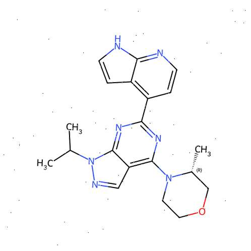 CC(C)n1ncc2c(N3CCOC[C@H]3C)nc(-c3ccnc4[nH]ccc34)nc21